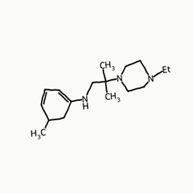 CCN1CCN(C(C)(C)CNC2=CC=CC(C)C2)CC1